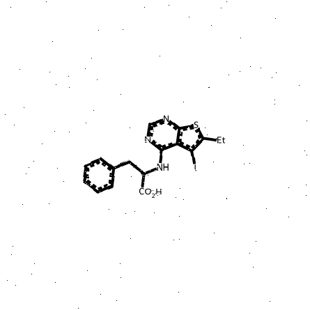 CCc1sc2ncnc(NC(Cc3ccccc3)C(=O)O)c2c1I